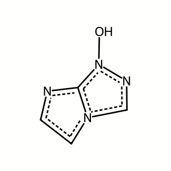 On1ncn2ccnc12